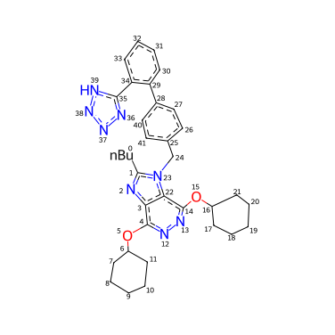 CCCCc1nc2c(OC3CCCCC3)nnc(OC3CCCCC3)c2n1Cc1ccc(-c2ccccc2-c2nnn[nH]2)cc1